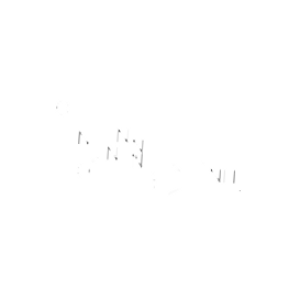 NCc1cccc(-[n+]2cn(C(=O)N3CCOCC3)nn2)c1